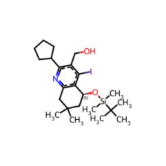 CC1(C)Cc2nc(C3CCCC3)c(CO)c(I)c2[C@@H](O[Si](C)(C)C(C)(C)C)C1